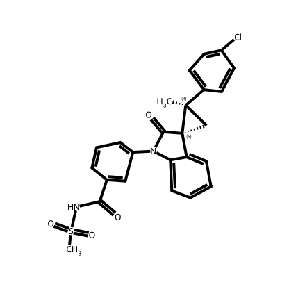 C[C@]1(c2ccc(Cl)cc2)C[C@]12C(=O)N(c1cccc(C(=O)NS(C)(=O)=O)c1)c1ccccc12